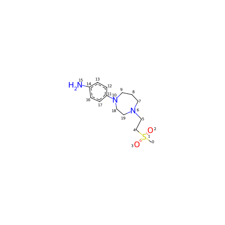 CS(=O)(=O)CCN1CCCN(c2ccc(N)cc2)CC1